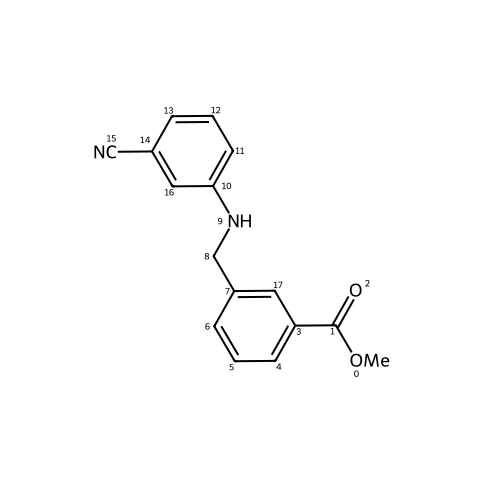 COC(=O)c1cccc(CNc2cccc(C#N)c2)c1